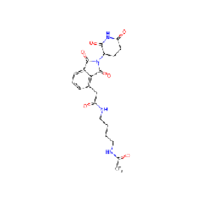 O=C(Cc1cccc2c1C(=O)N(C1CCC(=O)NC1=O)C2=O)NCCCCNC(=O)C(F)(F)F